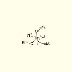 CC[O][Ta]([Cl])([Cl])([O]CC)[O]CC